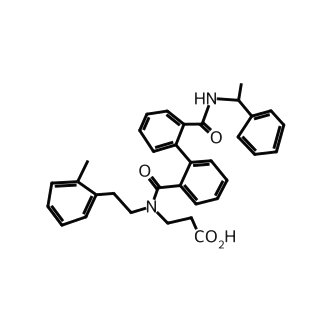 Cc1ccccc1CCN(CCC(=O)O)C(=O)c1ccccc1-c1ccccc1C(=O)NC(C)c1ccccc1